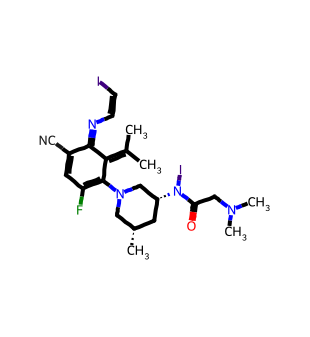 CC(C)=C1C(N2C[C@@H](C)C[C@@H](N(I)C(=O)CN(C)C)C2)=C(F)C=C(C#N)/C1=N/C=C\I